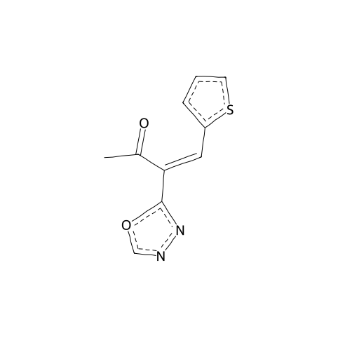 CC(=O)C(=Cc1cccs1)c1nnco1